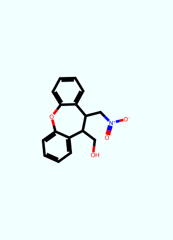 O=[N+]([O-])CC1c2ccccc2Oc2ccccc2C1CO